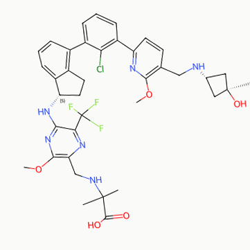 COc1nc(-c2cccc(-c3cccc4c3CC[C@@H]4Nc3nc(OC)c(CNC(C)(C)C(=O)O)nc3C(F)(F)F)c2Cl)ccc1CN[C@H]1C[C@](C)(O)C1